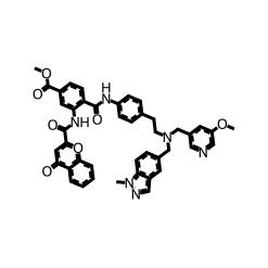 COC(=O)c1ccc(C(=O)Nc2ccc(CCN(Cc3cncc(OC)c3)Cc3ccc4c(cnn4C)c3)cc2)c(NC(=O)c2cc(=O)c3ccccc3o2)c1